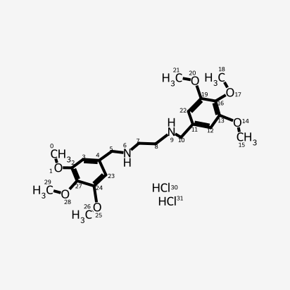 COc1cc(CNCCNCc2cc(OC)c(OC)c(OC)c2)cc(OC)c1OC.Cl.Cl